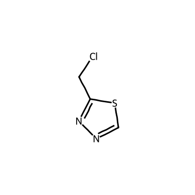 ClCc1nncs1